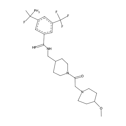 COC1CCN(CC(=O)N2CCC(CNC(=P)c3cc(C(F)(F)F)cc(C(C)(F)P)c3)CC2)CC1